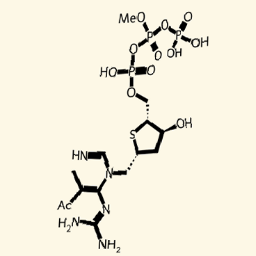 COP(=O)(OP(=O)(O)O)OP(=O)(O)OC[C@H]1S[C@@H](CN(C=N)/C(N=C(N)N)=C(\C)C(C)=O)C[C@@H]1O